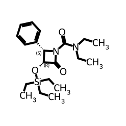 CCN(CC)C(=O)N1C(=O)[C@H](O[Si](CC)(CC)CC)[C@@H]1c1ccccc1